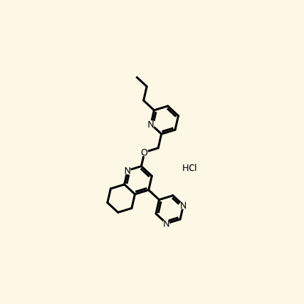 CCCc1cccc(COc2cc(-c3cncnc3)c3c(n2)CCCC3)n1.Cl